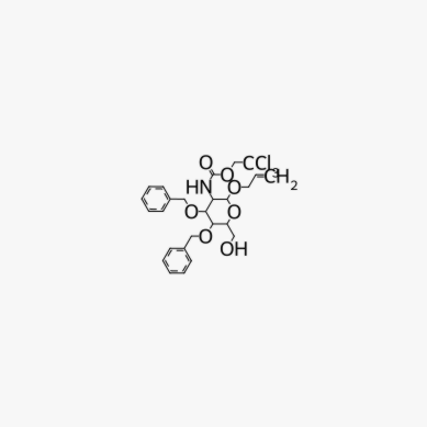 C=CCOC1OC(CO)C(OCc2ccccc2)C(OCc2ccccc2)C1NC(=O)OCC(Cl)(Cl)Cl